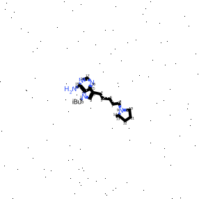 CCC(C)n1cc(CCCCCN2CCCC2C)c2ncnc(N)c21